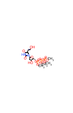 COP(=O)(OC)OP(=O)(OC)OP(=O)(OC)OC[C@H]1O[C@@H](n2cc(/C=C/O)c(=O)[nH]c2=O)CC1O